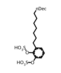 CCCCCCCCCCCCCCCCCc1cccc(OS(=O)(=O)O)c1OS(=O)(=O)O